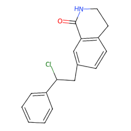 O=C1NCCc2ccc(CC(Cl)c3ccccc3)cc21